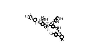 C[C@@H]1CN([C@H]2CC[C@@H](CNc3ccc(S(=O)(=O)NC(=O)c4ccc(NCCNCC5=C(c6ccc(Cl)cc6)CC(C)(C)CC5)cc4Oc4cnc5[nH]ccc5c4)cc3[NH+]([O-])O)CC2)CCN1